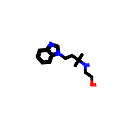 CC(C)(CCn1cnc2ccccc21)NCCO